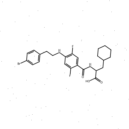 O=C(NC(CC1CCCCC1)C(=O)O)c1cc(F)c(NCCc2ccc(Br)cc2)cc1F